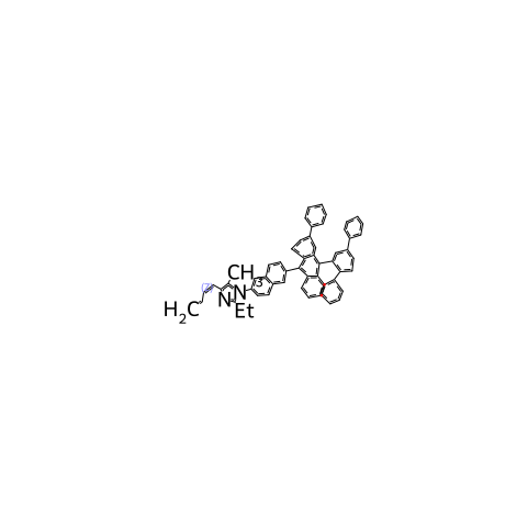 C=C/C=C\c1nc(CC)n(-c2ccc3cc(-c4c5ccccc5c(-c5cc(-c6ccccc6)ccc5-c5ccccc5)c5cc(-c6ccccc6)ccc45)ccc3c2)c1C